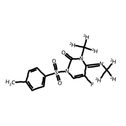 [2H]C([2H])([2H])/N=c1\c(F)cn(S(=O)(=O)c2ccc(C)cc2)c(=O)n1C([2H])([2H])[2H]